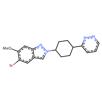 COc1cc2nn(C3CCC(c4cccnn4)CC3)cc2cc1Br